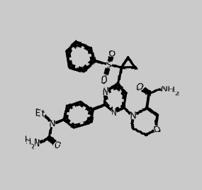 CCN(C(N)=O)c1ccc(-c2nc(N3CCOCC3C(N)=O)cc(C3(S(=O)(=O)c4ccccc4)CC3)n2)cc1